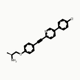 C[C@H](N)COc1ccc(C#Cc2ccc(-c3ccc(Cl)cc3)cn2)cc1